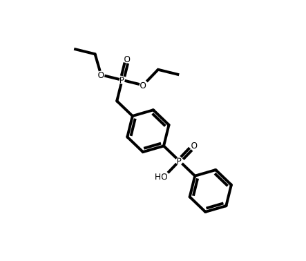 CCOP(=O)(Cc1ccc(P(=O)(O)c2ccccc2)cc1)OCC